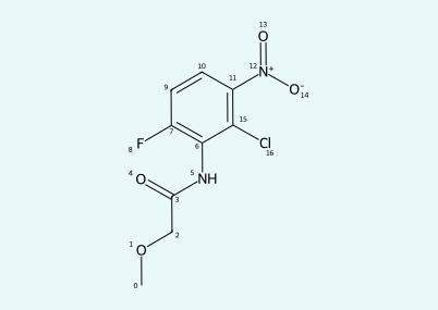 COCC(=O)Nc1c(F)ccc([N+](=O)[O-])c1Cl